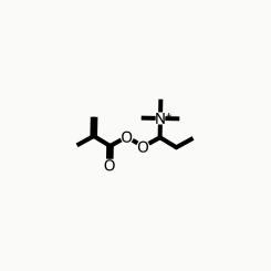 C=C(C)C(=O)OOC(CC)[N+](C)(C)C